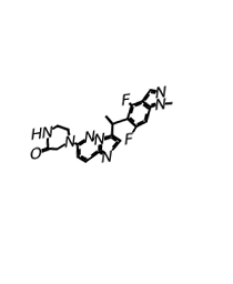 CC(c1c(F)cc2c(cnn2C)c1F)c1cnc2ccc(N3CCNC(=O)C3)nn12